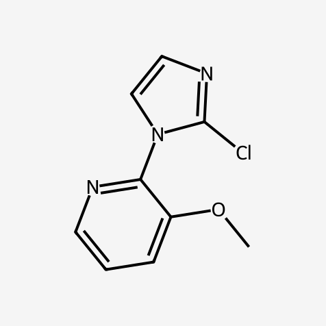 COc1cccnc1-n1ccnc1Cl